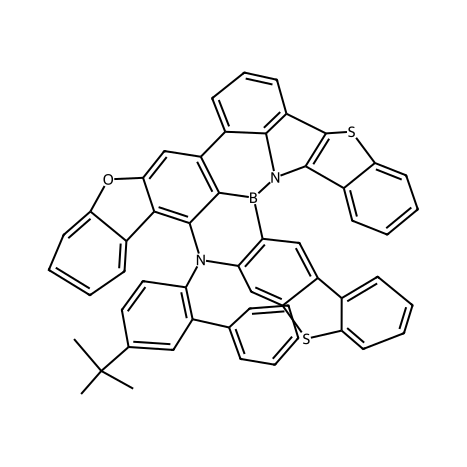 CC(C)(C)c1ccc(N2c3cc4sc5ccccc5c4cc3B3c4c(cc5oc6ccccc6c5c42)-c2cccc4c5sc6ccccc6c5n3c24)c(-c2ccccc2)c1